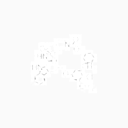 Cc1cc(OCCCc2c(C(=O)NS(=O)(=O)CC3CCN(C(=O)OCc4ccccc4)CC3)[nH]c3ccccc23)cc(C)c1Cl